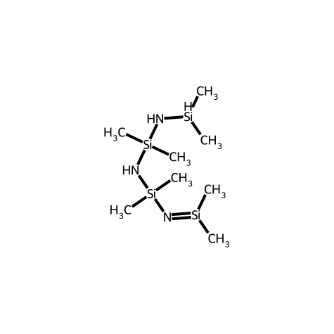 C[Si](C)=N[Si](C)(C)N[Si](C)(C)N[SiH](C)C